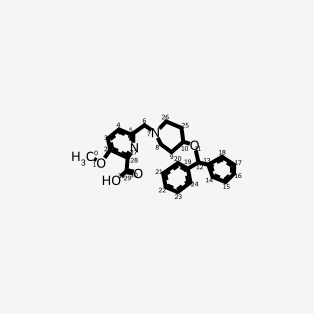 COc1ccc(CN2CCC(OC(c3ccccc3)c3ccccc3)CC2)nc1C(=O)O